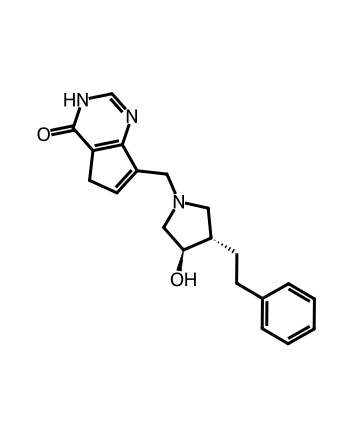 O=c1[nH]cnc2c1CC=C2CN1C[C@H](CCc2ccccc2)[C@@H](O)C1